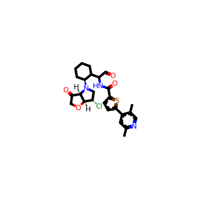 Cc1cc(-c2ccc(C(=O)NC(C=O)C3CCCC[C@@H]3N3C[C@H](Cl)[C@H]4OCC(=O)[C@H]43)s2)c(C)cn1